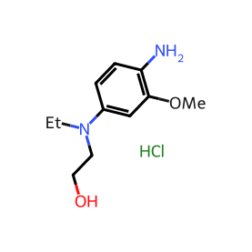 CCN(CCO)c1ccc(N)c(OC)c1.Cl